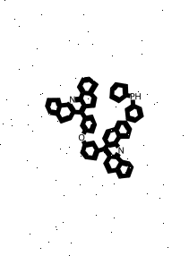 c1cc(Oc2cccc(-c3c4ccc5ccccc5c4nc4c3ccc3ccccc34)c2)cc(-c2c3ccc4ccccc4c3nc3c2ccc2ccccc23)c1.c1ccc(Pc2ccccc2)cc1